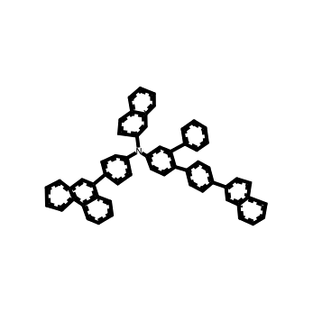 c1ccc(-c2cc(N(c3ccc(-c4cc5ccccc5c5ccccc45)cc3)c3ccc4ccccc4c3)ccc2-c2ccc(-c3ccc4ccccc4c3)cc2)cc1